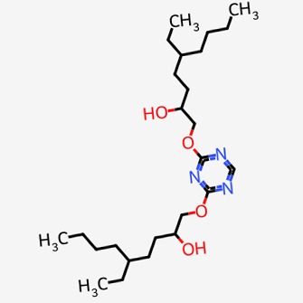 CCCCC(CC)CCC(O)COc1ncnc(OCC(O)CCC(CC)CCCC)n1